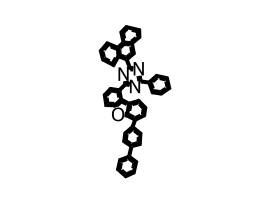 c1ccc(-c2ccc(-c3cccc4c3oc3cccc(-c5nc(-c6ccccc6)nc(-c6cc7ccccc7c7ccccc67)n5)c34)cc2)cc1